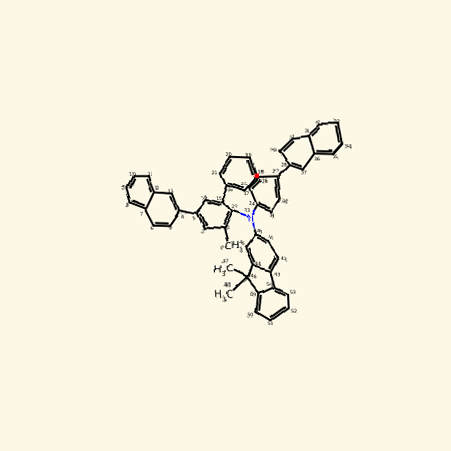 Cc1cc(-c2ccc3ccccc3c2)cc(-c2ccccc2)c1N(c1ccc(-c2ccc3ccccc3c2)cc1)c1ccc2c(c1)C(C)(C)c1ccccc1-2